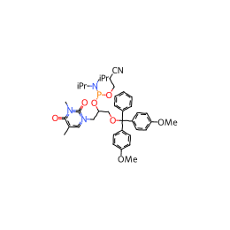 COc1ccc(C(OCC(Cn2cc(C)c(=O)n(C)c2=O)OP(OCCC#N)N(C(C)C)C(C)C)(c2ccccc2)c2ccc(OC)cc2)cc1